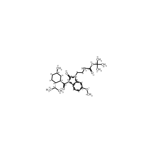 COc1ccc2c(c1)n(CCNC(=O)OC(C)(C)C)c(=O)n2C(=O)[C@@H]1C[C@H](C)CC[C@H]1C(C)C